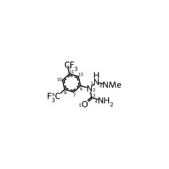 CNNN(C(N)=O)c1cc(C(F)(F)F)cc(C(F)(F)F)c1